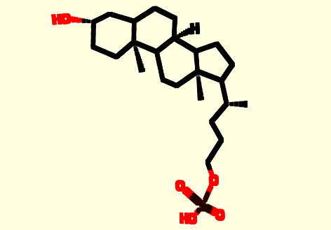 C[C@H](CCCOS(=O)(=O)O)C1CCC2[C@@H]3CCC4C[C@@H](O)CC[C@]4(C)C3CC[C@@]21C